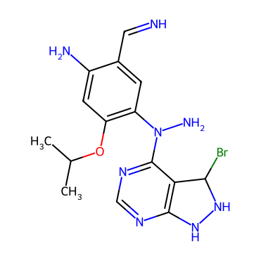 CC(C)Oc1cc(N)c(C=N)cc1N(N)c1ncnc2c1C(Br)NN2